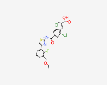 CCOCc1cccc(-c2csc(NC(=O)c3cc(Cl)c(C=C(C)C(=O)O)c(Cl)c3)n2)c1F